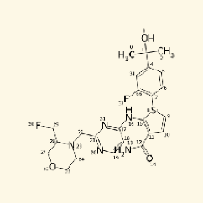 CC(C)(O)c1ccc([S]2C=CC(C(N)=O)=C2Nc2ccnc(CN3CCOCC3CF)n2)c(F)c1